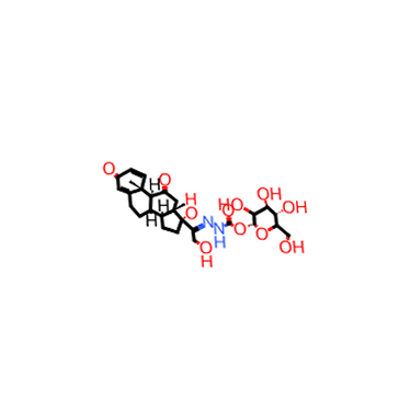 C[C@]12C=CC(=O)C=C1CC[C@@H]1[C@@H]2C(=O)C[C@@]2(C)[C@H]1CC[C@]2(O)/C(CO)=N/NC(=O)O[C@H]1OC(CO)[C@@H](O)[C@H](O)C1O